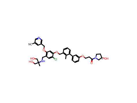 Cc1c(COc2cc(OCc3cncc(C#N)c3)c(CNC(C)(CO)CO)cc2Cl)cccc1-c1cccc(OCCC(=O)N2CC[C@@H](O)C2)c1